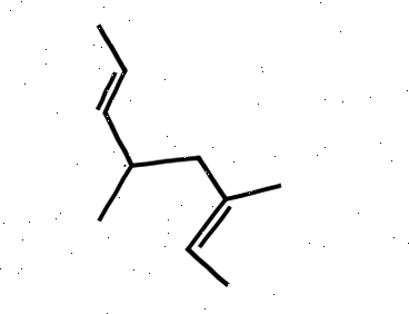 CC=C[C](C)CC(C)=CC